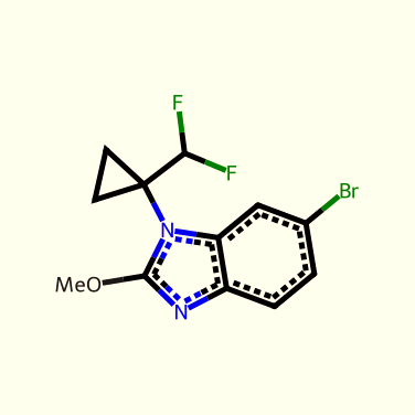 COc1nc2ccc(Br)cc2n1C1(C(F)F)CC1